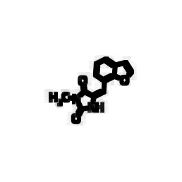 CN1C(=O)NC(=Cc2cccc3ccoc23)C1=O